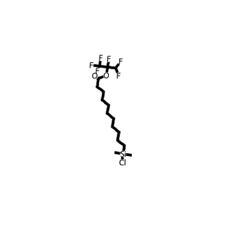 C[Si](C)(Cl)CCCCCCCCCCC(=O)OC(F)(C(F)F)C(F)(F)F